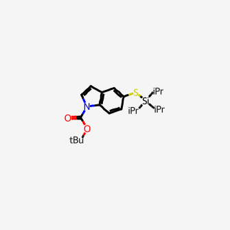 CC(C)[Si](Sc1ccc2c(ccn2C(=O)OC(C)(C)C)c1)(C(C)C)C(C)C